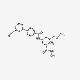 COCOCC(CC(C)C(=O)NO)NC(=O)c1ccc(-c2cccc(C#N)c2)cc1